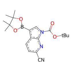 CC(C)(C)OC(=O)n1cc(B2OC(C)(C)C(C)(C)O2)c2ccc(C#N)nc21